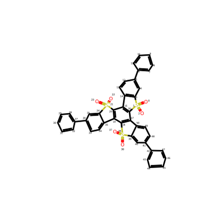 O=S1(=O)c2cc(-c3ccccc3)ccc2-c2c1c1c(c3c2S(=O)(=O)c2cc(-c4ccccc4)ccc2-3)S(=O)(=O)c2cc(-c3ccccc3)ccc2-1